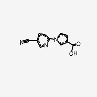 N#Cc1ccc(-n2ccc(C(=O)O)c2)nc1